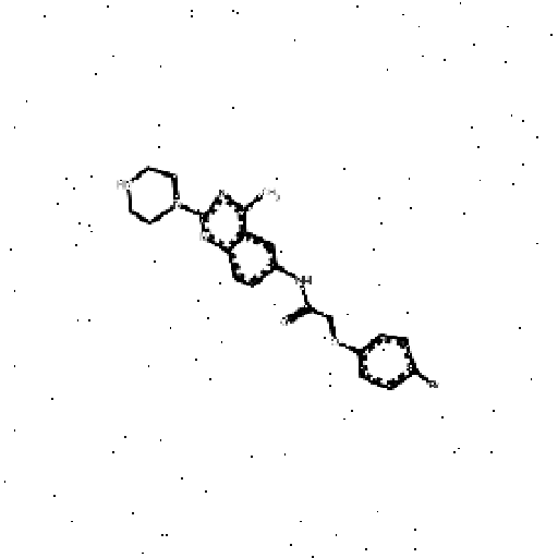 Cc1nc(N2CCNCC2)nc2ccc(NC(=O)COc3ccc(Br)cc3)cc12